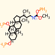 CO/C(=N/CC[C@@H](C)C1CC[C@H]2[C@@H]3C(OP)=C[C@@H]4C[C@H](OP)CC[C@]4(C)[C@H]3CC[C@]12C)OP